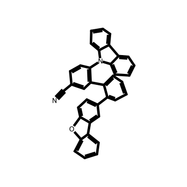 N#Cc1ccc(-n2c3ccccc3c3ccccc32)c(-c2ccccc2-c2ccc3oc4ccccc4c3c2)c1